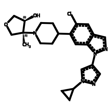 C[C@]1(N2CCC(c3cc4c(cnn4-c4cnn(C5CC5)c4)cc3Cl)CC2)COC[C@H]1O